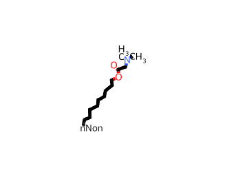 CCCCCCCCCCCCCCCCCCOC(=O)CN(C)C